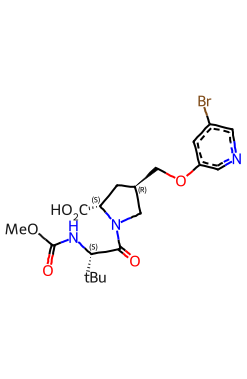 COC(=O)N[C@H](C(=O)N1C[C@H](COc2cncc(Br)c2)C[C@H]1C(=O)O)C(C)(C)C